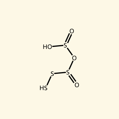 O=S(O)OS(=O)SS